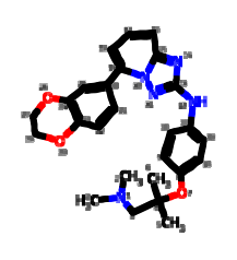 CN(C)CC(C)(C)Oc1ccc(Nc2nc3cccc(-c4ccc5c(c4)OCCO5)n3n2)cc1